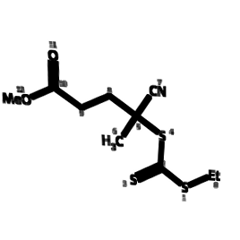 CCSC(=S)SC(C)(C#N)CCC(=O)OC